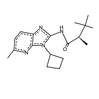 Cc1ccc2nc(NC(=O)[C@H](C)C(C)(C)C)n(C3CCC3)c2n1